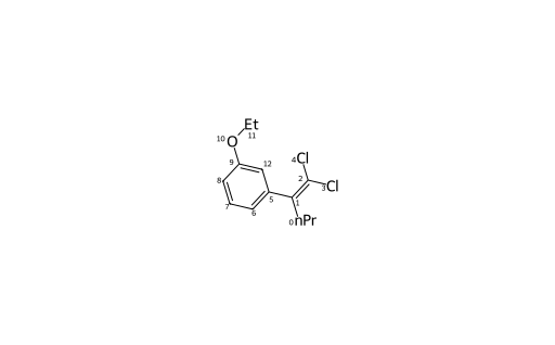 CCCC(=C(Cl)Cl)c1cccc(OCC)c1